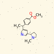 COC(=O)c1ccc(C(C)c2cncc(C3CCCN3C)c2)cc1